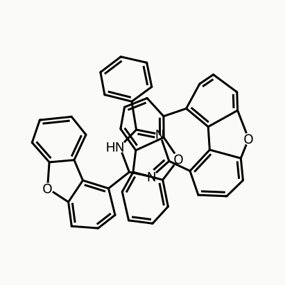 c1ccc(C2=NC(c3cccc4oc5cccc(-c6cccc7c6oc6ccccc67)c5c34)=NC(c3cccc4oc5ccccc5c34)N2)cc1